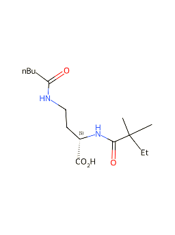 CCCCC(=O)NCC[C@H](NC(=O)C(C)(C)CC)C(=O)O